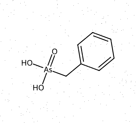 O=[As](O)(O)Cc1ccccc1